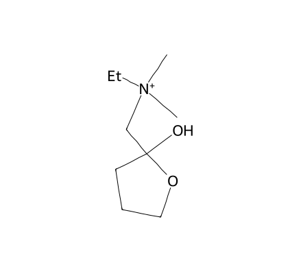 CC[N+](C)(C)CC1(O)CCCO1